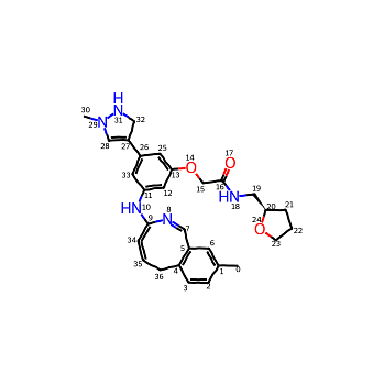 Cc1ccc2c(c1)/C=N\C(Nc1cc(OCC(=O)NC[C@H]3CCCO3)cc(C3=CN(C)NC3)c1)=C=CC2